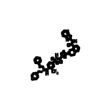 O=C(NS(=O)(=O)c1ccc(N[C@H](CCN2CCOCC2)CSc2ccccc2)c(C(F)(F)F)c1)c1csc(N2CCc3cccc(C(=O)Nc4cn5ncccc5n4)c3C2)n1